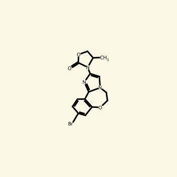 CC1COC(=O)N1c1cn2c(n1)-c1ccc(Br)cc1OCC2